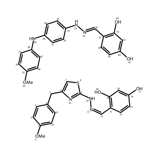 COc1ccc(Cc2csc(N/N=C\c3ccc(O)cc3O)n2)cc1.COc1ccc(Nc2ccc(N/N=C/c3ccc(O)cc3O)cc2)cc1